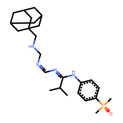 CC(C)/C(=N\C=N/CNCC12CC3CC(CC(C3)C1)C2)Nc1ccc(P(C)(C)=O)cc1